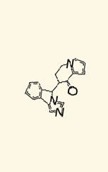 O=C1c2cccn2CCC1C1c2ccccc2-c2cncn21